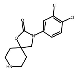 O=C1OC2(CCNCC2)CN1c1ccc(Cl)c(Cl)c1